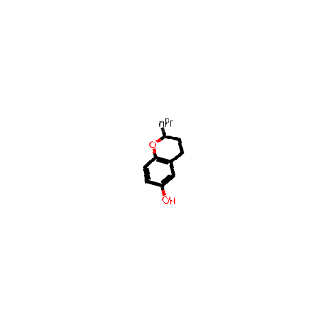 CCCC1CCc2cc(O)ccc2O1